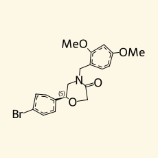 COc1ccc(CN2C[C@H](c3ccc(Br)cc3)OCC2=O)c(OC)c1